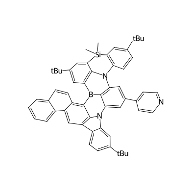 CC(C)(C)c1ccc2c(c1)[Si](C)(C)c1cc(C(C)(C)C)cc3c1N2c1cc(-c2ccncc2)cc2c1B3c1c3ccc4ccccc4c3cc3c4ccc(C(C)(C)C)cc4n-2c13